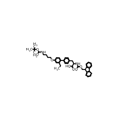 CCc1cc(OCCCCNC(=O)OC(C)(C)C)ccc1-c1ccc(CC(NC(=O)OCC2c3ccccc3-c3ccccc32)C(=O)O)cc1